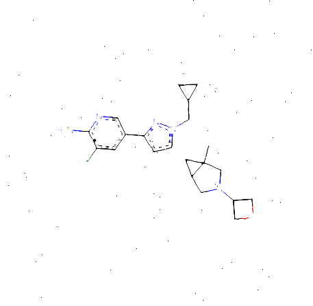 CC12CN(C3COC3)C[C@H]1[C@@H]2c1cc(-c2cnc(N)c(Cl)c2)nn1CC1CC1